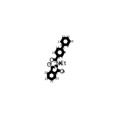 CCN(C(=O)c1ccc(-c2ccccc2)cc1)N1C(=O)c2ccccc2C1=O